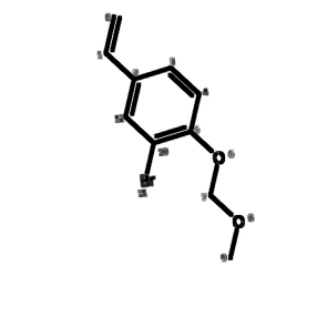 C=Cc1ccc(OCOC)c(Br)c1